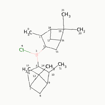 CC1C(B(Cl)C2CC3CC(C2C)C3(C)C)CC2CC1C2(C)C